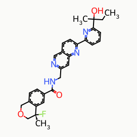 CCC(C)(O)c1cccc(-c2ccc3cnc(CNC(=O)c4ccc5c(c4)[C@](C)(F)COC5)cc3n2)n1